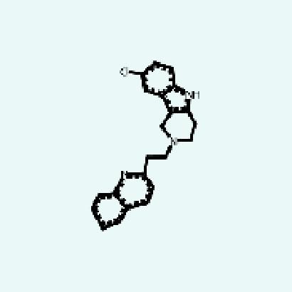 Clc1ccc2[nH]c3c(c2c1)CN(CCc1ccc2ccccc2n1)CC3